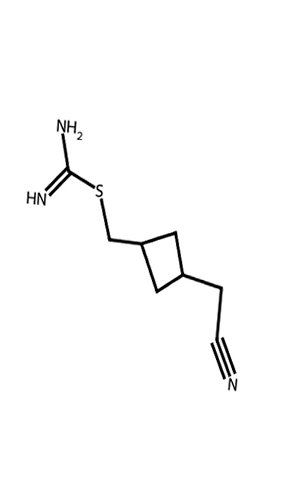 N#CCC1CC(CSC(=N)N)C1